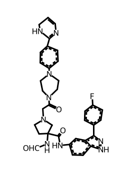 O=CNC1(C(=O)Nc2ccc3[nH]nc(-c4ccc(F)cc4)c3c2)CCN(CC(=O)N2CCN(c3ccc(C4=NC=CCN4)cc3)CC2)C1